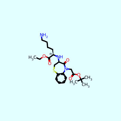 CCOC(=O)[C@@H](CCCCN)NC1CSc2ccccc2N(CC(=O)OC(C)(C)C)C1=O